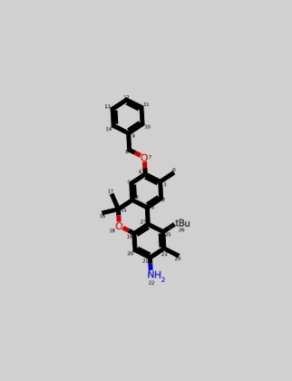 Cc1cc2c(cc1OCc1ccccc1)C(C)(C)Oc1cc(N)c(C)c(C(C)(C)C)c1-2